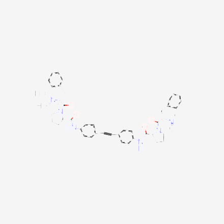 CN(C)[C@H](Cc1ccccc1)C(=O)N1CCC[C@H]1C(=O)Nc1ccc(C#Cc2ccc(NC(=O)[C@@H]3CCCN3C(=O)[C@@H](Cc3ccccc3)N(C)C)cc2)cc1